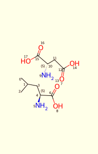 CC(C)C[C@H](N)C(=O)O.N[C@@H](CC(=O)O)C(=O)O